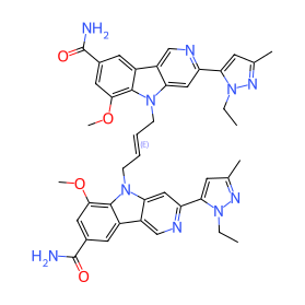 CCn1nc(C)cc1-c1cc2c(cn1)c1cc(C(N)=O)cc(OC)c1n2C/C=C/Cn1c2cc(-c3cc(C)nn3CC)ncc2c2cc(C(N)=O)cc(OC)c21